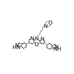 c1cc2[nH]ncc2cc1-c1cnc2c(c1)Oc1cc(-c3ccc4[nH]ncc4c3)cnc1N2CCCCCN1CCOCC1